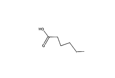 C[CH]CCCC(=O)O